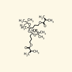 C=C(C)C(=O)OCCC[Si](C)(O[Si](C)(C)C)O[Si](C)(CCCOC(=O)C(=C)C)O[Si](C)(C)C